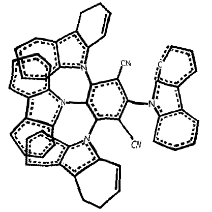 N#Cc1c(-n2c3c(c4ccccc42)CCC=C3)c(-n2c3ccccc3c3ccccc32)c(-n2c3c(c4ccccc42)CCC=C3)c(C#N)c1-n1c2ccccc2c2ccccc21